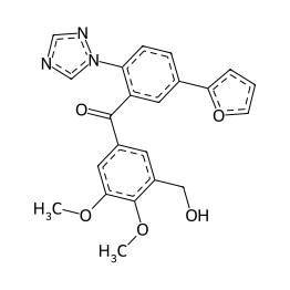 COc1cc(C(=O)c2cc(-c3ccco3)ccc2-n2cncn2)cc(CO)c1OC